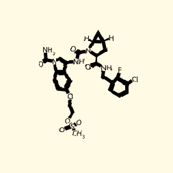 CS(=O)(=O)OCCOc1ccc2c(c1)c(NC(=O)N1[C@@H]3C[C@@H]3C[C@H]1C(=O)NCc1cccc(Cl)c1F)cn2C(N)=O